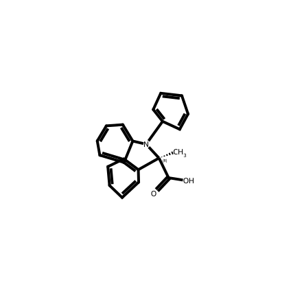 C[C@](C(=O)O)(c1ccccc1)N(c1ccccc1)c1ccccc1